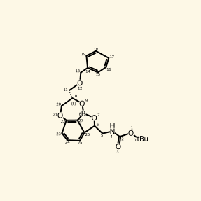 CC(C)(C)OC(=O)NCC1OB2O[C@@H](COCc3ccccc3)COc3cccc1c32